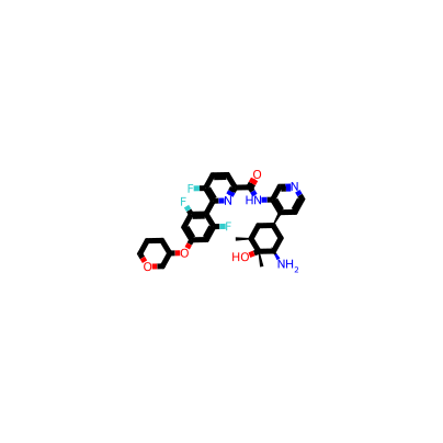 C[C@H]1C[C@@H](c2ccncc2NC(=O)c2ccc(F)c(-c3c(F)cc(OC4CCCOC4)cc3F)n2)C[C@@H](N)[C@]1(C)O